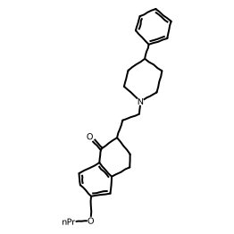 CCCOc1ccc2c(c1)CCC(CCN1CCC(c3ccccc3)CC1)C2=O